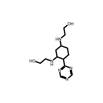 OCCNC1CCC(c2ncncn2)C(NCCO)C1